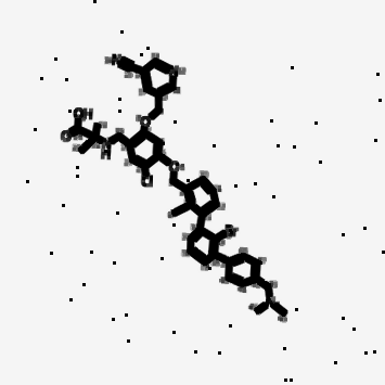 Cc1c(COc2cc(OCc3cncc(C#N)c3)c(CNC(C)(C)C(=O)O)cc2Cl)cccc1-c1cccc(-c2ccc(CN(C)C)cc2)c1Br